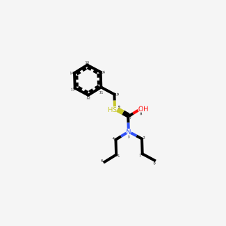 CCCN(CCC)C(O)=[SH]Cc1ccccc1